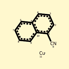 N#Cc1cccc2ccccc12.[Cu]